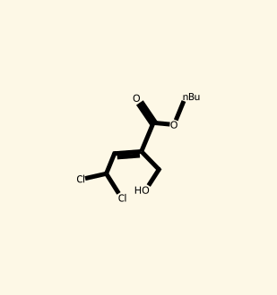 CCCCOC(=O)C(=CC(Cl)Cl)CO